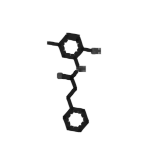 Cc1c#cc(O)c(NC(=O)CCc2ccccc2)c1